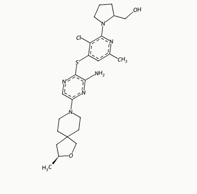 Cc1cc(Sc2ncc(N3CCC4(CC3)CO[C@@H](C)C4)nc2N)c(Cl)c(N2CCCC2CO)n1